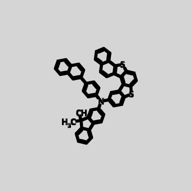 CC1(C)c2ccccc2-c2ccc(N(c3ccc(-c4ccc5ccccc5c4)cc3)c3ccc4sc5ccc6sc7c8ccccc8ccc7c6c5c4c3)cc21